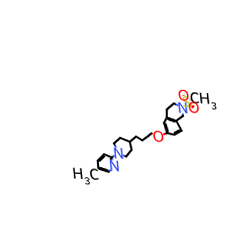 Cc1ccc(N2CCC(CCCOc3ccc4c(c3)CCN(S(C)(=O)=O)C4)CC2)nc1